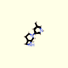 Cc1cncc(N2CCC3CNC3C2)c1